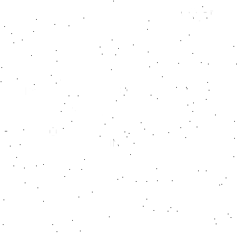 C/C=C(/C)C[C@@H](CCCCC(=O)OCC)NC(=O)C(=O)C(C)(C)C(C)C